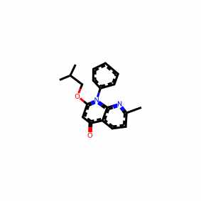 Cc1ccc2c(=O)cc(OCC(C)C)n(-c3ccccc3)c2n1